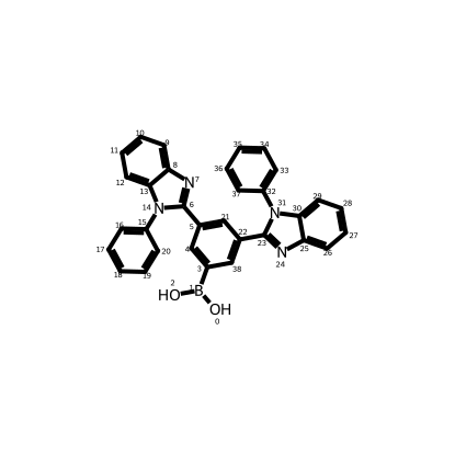 OB(O)c1cc(-c2nc3ccccc3n2-c2ccccc2)cc(-c2nc3ccccc3n2-c2ccccc2)c1